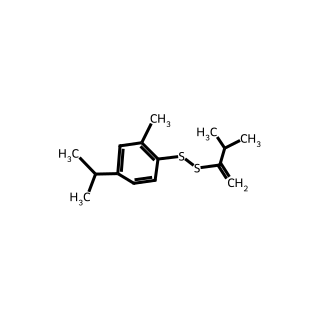 C=C(SSc1ccc(C(C)C)cc1C)C(C)C